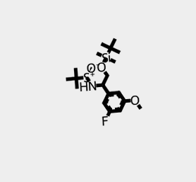 COc1cc(F)cc(C(CO[Si](C)(C)C(C)(C)C)N[S@@+]([O-])C(C)(C)C)c1